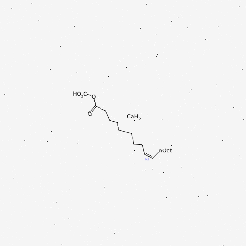 CCCCCCCC/C=C\CCCCCCCC(=O)OC(=O)O.[CaH2]